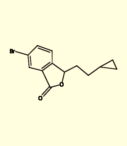 O=C1OC(CCC2CC2)c2ccc(Br)cc21